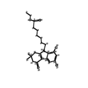 CCOC(=O)CCCCCCn1c2c(c3cc(Cl)cc(Cl)c31)C(=O)CC(C)(C)C2